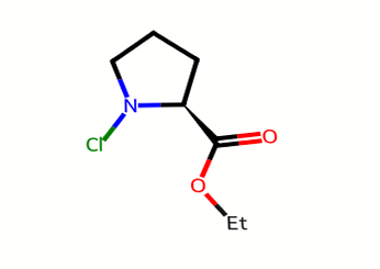 CCOC(=O)[C@@H]1CCCN1Cl